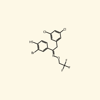 FC(F)(F)CO/N=C(\Cc1cc(Cl)cc(Cl)c1)c1ccc(S)c(Br)c1